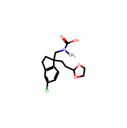 CN(CC1(CCC2OCCO2)CCc2cc(Cl)ccc21)C(=O)O